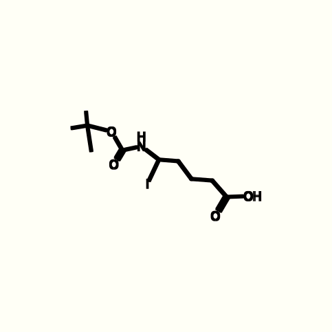 CC(C)(C)OC(=O)NC(I)CCCC(=O)O